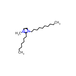 CCCCCCCCCCn1cc[n+](C)c1CCCCCCC